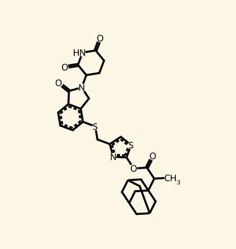 CC(C(=O)Oc1nc(CSc2cccc3c2CN(C2CCC(=O)NC2=O)C3=O)cs1)C12CC3CC(CC(C3)C1)C2